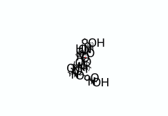 CC[C@H](C)[C@@H]([C@@H](CC(=O)N1CCC[C@@H]1[C@H](OC)[C@@H](C)C(=O)N[C@H](C)[C@@H](O)c1ccccc1)OC)N(C)C(=O)[C@@H](NC(=O)[C@H](C(C)C)N(C)C(=O)OCc1ccc(N(C)C(=O)O)cc1)C(C)C